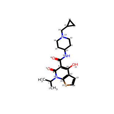 CC(C)n1c(=O)c(C(=O)NC2CCN(CC3CC3)CC2)c(O)c2ccsc21